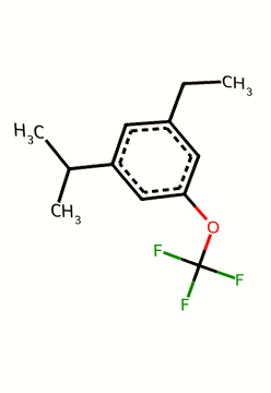 CCc1cc(OC(F)(F)F)cc(C(C)C)c1